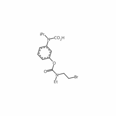 CCN(CCBr)C(=O)Oc1cccc(N(C(=O)O)C(C)C)c1